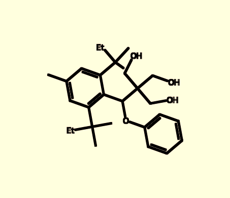 CCC(C)(C)c1cc(C)cc(C(C)(C)CC)c1C(Oc1ccccc1)C(CO)(CO)CO